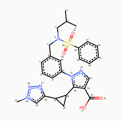 CC(C)CN(Cc1cccc(-n2ncc(C(=O)O)c2C2CC2c2cn(C)nn2)c1)S(=O)(=O)c1ccccc1